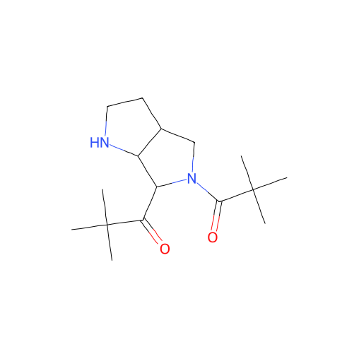 CC(C)(C)C(=O)C1C2NCCC2CN1C(=O)C(C)(C)C